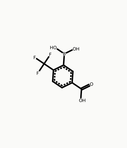 O=C(O)c1ccc(C(F)(F)F)c(B(O)O)c1